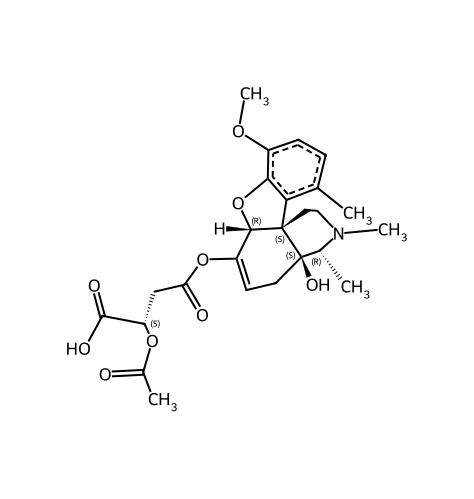 COc1ccc(C)c2c1O[C@H]1C(OC(=O)C[C@H](OC(C)=O)C(=O)O)=CC[C@@]3(O)[C@@H](C)N(C)CC[C@]213